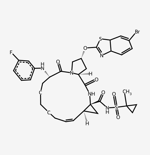 CC1(S(=O)(=O)NC(=O)[C@@]23C[C@H]2/C=C\CCCCC[C@H](Nc2cccc(F)c2)C(=O)N2C[C@H](OC4=NC5C=CC(Br)=CC5S4)C[C@H]2C(=O)N3)CC1